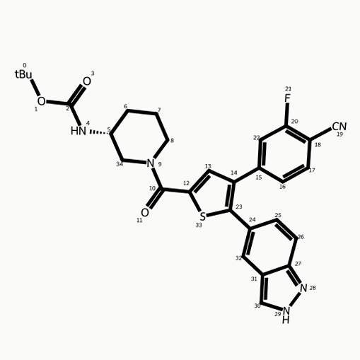 CC(C)(C)OC(=O)N[C@@H]1CCCN(C(=O)c2cc(-c3ccc(C#N)c(F)c3)c(-c3ccc4n[nH]cc4c3)s2)C1